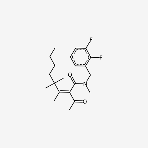 CCCCC(C)(C)/C(C)=C(/C(C)=O)C(=O)N(C)Cc1cccc(F)c1F